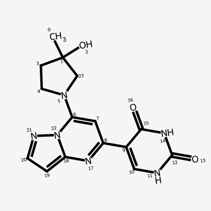 CC1(O)CCN(c2cc(-c3c[nH]c(=O)[nH]c3=O)nc3ccnn23)C1